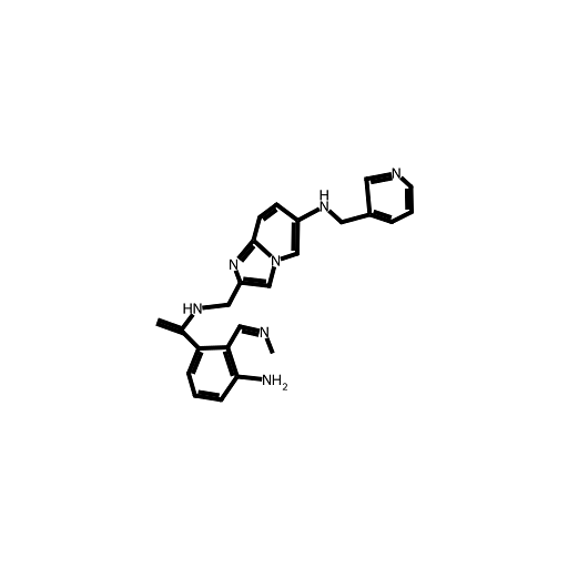 C=C(NCc1cn2cc(NCc3cccnc3)ccc2n1)c1cccc(N)c1/C=N\C